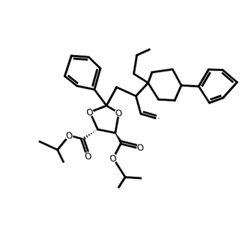 [CH]=CC(CC1(c2ccccc2)O[C@@H](C(=O)OC(C)C)[C@H](C(=O)OC(C)C)O1)C1(CCC)CCC(c2ccccc2)CC1